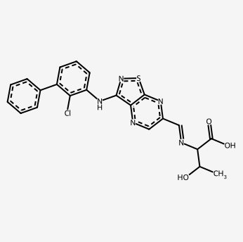 CC(O)C(N=Cc1cnc2c(Nc3cccc(-c4ccccc4)c3Cl)nsc2n1)C(=O)O